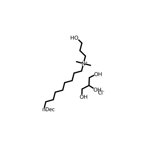 CCCCCCCCCCCCCCCCCC[N+](C)(C)CCCO.OCC(O)CO.[Cl-]